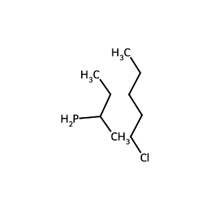 CCC(C)P.CCCCCCl